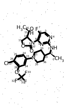 C[C@H](Nc1ncc(F)c(N2C(=O)OCC2[C@@H](C)O)n1)C1CCN(c2ccc(Cl)c(OC(F)(F)F)c2)CC1